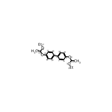 CCOC(C)Oc1ccc(-c2ccc(OC(C)OCC)cc2)cc1